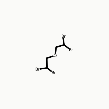 BrC(Br)COCC(Br)Br